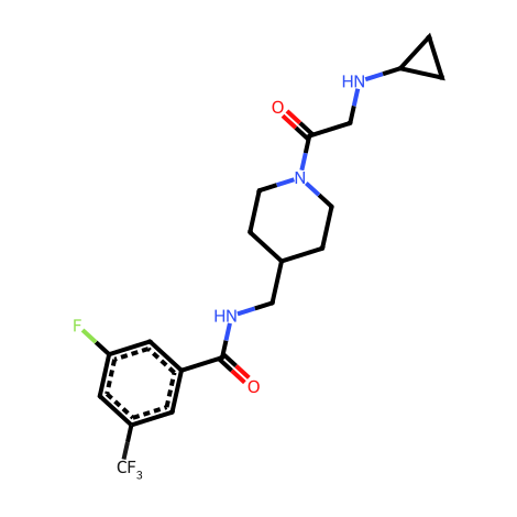 O=C(NCC1CCN(C(=O)CNC2CC2)CC1)c1cc(F)cc(C(F)(F)F)c1